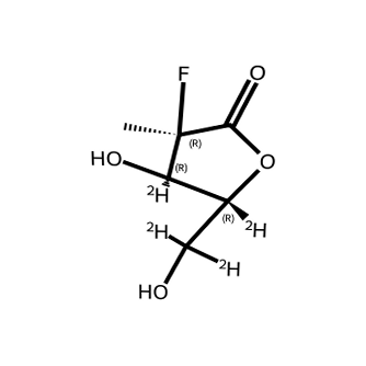 [2H]C([2H])(O)[C@@]1([2H])OC(=O)[C@](C)(F)[C@]1([2H])O